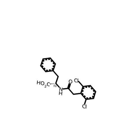 O=C(Cc1c(Cl)cccc1Cl)N[C@@H](Cc1ccccc1)C(=O)O